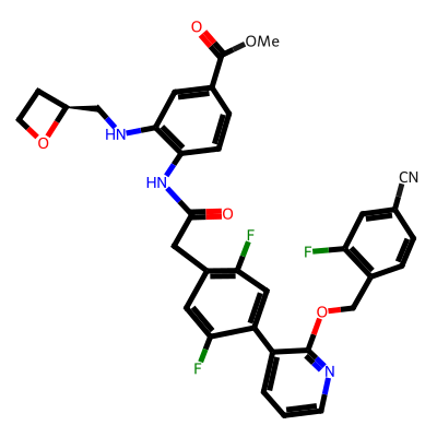 COC(=O)c1ccc(NC(=O)Cc2cc(F)c(-c3cccnc3OCc3ccc(C#N)cc3F)cc2F)c(NC[C@@H]2CCO2)c1